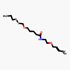 CNCCSSCOCCCCC(=O)NCCOC/C=C/BC(C)C